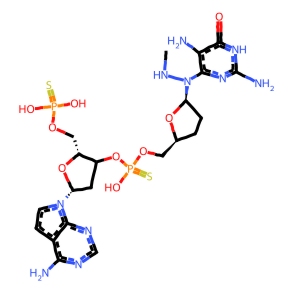 CNN(c1nc(N)[nH]c(=O)c1N)[C@H]1CC[C@@H](COP(O)(=S)OC2C[C@H](n3ccc4c(N)ncnc43)O[C@@H]2COP(O)(O)=S)O1